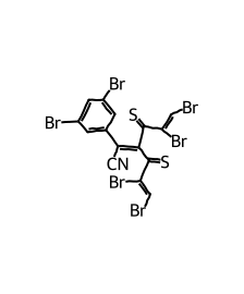 N#CC(=C(C(=S)C(Br)=CBr)C(=S)C(Br)=CBr)c1cc(Br)cc(Br)c1